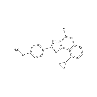 COc1ccc(-c2nc3c4c(C5CC5)cccc4nc(Cl)n3n2)cc1